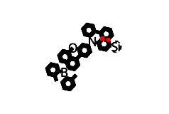 Cc1ccccc1B(c1ccccc1C)c1ccc2c3c(cccc13)Oc1cc(N(c3ccc([Si](C)(C)C)cc3)c3ccccc3-c3ccccc3)ccc1-2